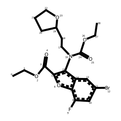 CCOC(=O)c1oc2c(F)cc(Br)cc2c1N(CCC1CCCO1)C(=O)OCC